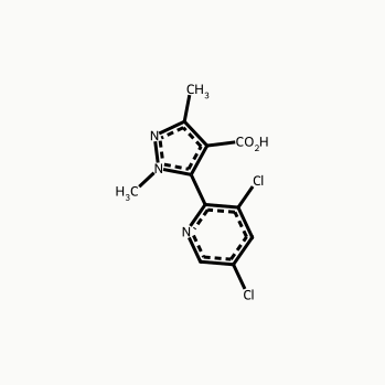 Cc1nn(C)c(-c2ncc(Cl)cc2Cl)c1C(=O)O